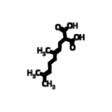 CC(C)=CCC/C(C)=C/CC(C(=O)O)C(=O)O